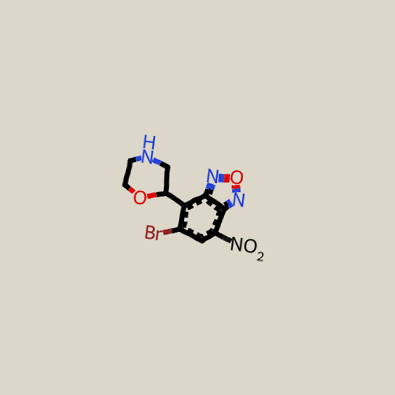 O=[N+]([O-])c1cc(Br)c(C2CNCCO2)c2nonc12